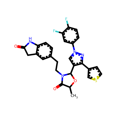 CC1OC(c2cn(-c3ccc(F)c(F)c3)nc2-c2ccsc2)N(CCc2ccc3c(c2)CC(=O)N3)C1=O